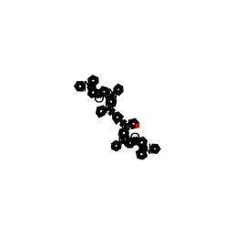 CC(C)(c1ccc(C(C)(C)N(c2ccccc2)c2ccc3c(c2)c2c4oc5ccc6c(c7ccccc7n6-c6ccccc6)c5c4ccc2n3-c2ccccc2)cc1)N(c1ccccc1)c1ccc2c(c1)c1c3oc4ccc5c(c6ccccc6n5-c5ccccc5)c4c3ccc1n2-c1ccccc1